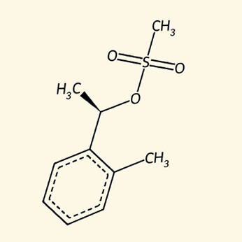 Cc1ccccc1[C@@H](C)OS(C)(=O)=O